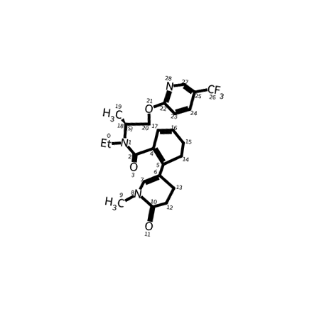 CCN(C(=O)C1=C(C2=CN(C)C(=O)CC2)CCC=C1)[C@@H](C)COc1ccc(C(F)(F)F)cn1